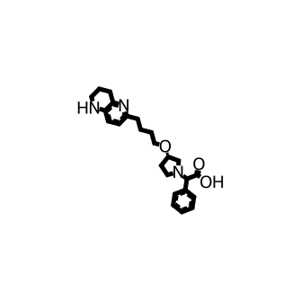 O=C(O)C(c1ccccc1)N1CC[C@@H](OCCCCc2ccc3c(n2)CCCN3)C1